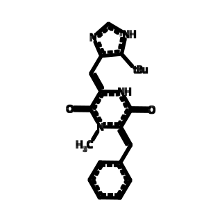 Cn1c(=O)/c(=C/c2nc[nH]c2C(C)(C)C)[nH]c(=O)/c1=C/c1ccccc1